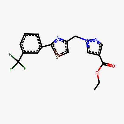 CCOC(=O)c1cnn(Cc2csc(-c3cccc(C(F)(F)F)c3)n2)c1